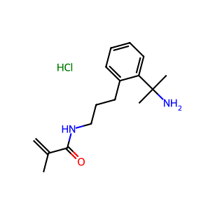 C=C(C)C(=O)NCCCc1ccccc1C(C)(C)N.Cl